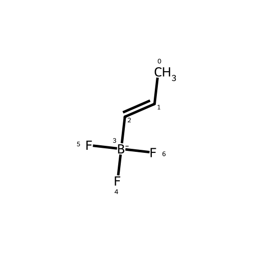 CC=C[B-](F)(F)F